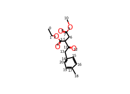 CCOC(=O)C(CC(=O)OC)C(=O)Cc1ccc(C)cc1